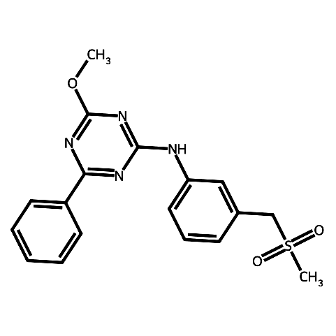 COc1nc(Nc2cccc(CS(C)(=O)=O)c2)nc(-c2ccccc2)n1